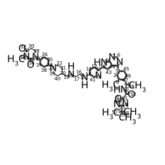 Cc1cc(-c2ncnc3[nH]c(-c4ccc(NCCNCC5CCN(c6ccc(N7CCC(=O)N(C)C7=O)cc6)CC5)cn4)cc23)ccc1[C@@H](C)NC(=O)c1nc(C(C)(C)C)no1